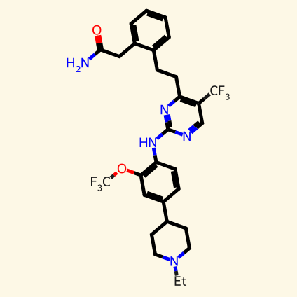 CCN1CCC(c2ccc(Nc3ncc(C(F)(F)F)c(CCc4ccccc4CC(N)=O)n3)c(OC(F)(F)F)c2)CC1